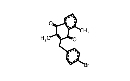 CC1=C(Cc2ccc(Br)cc2)C(=O)c2c(C)cccc2C1=O